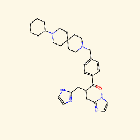 O=C(c1ccc(CN2CCC3(CC2)CCN(C2CCCCC2)CC3)cc1)C(Cc1ncc[nH]1)Cc1ncc[nH]1